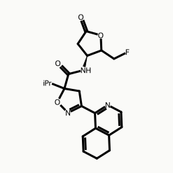 CC(C)C1(C(=O)N[C@H]2CC(=O)OC2CF)CC(c2nccc3c2C=CCC3)=NO1